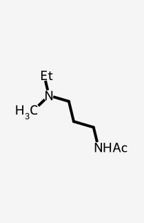 CCN(C)CCCNC(C)=O